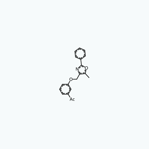 CC(=O)c1cccc(OCc2nc(-c3ccccc3)oc2C)c1